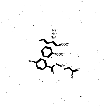 CC=CC=CC(=O)[O-].CCC(=O)[O-].CCCOC(=O)c1ccc(O)cc1.O=C([O-])c1ccccc1.[Na+].[Na+].[Na+]